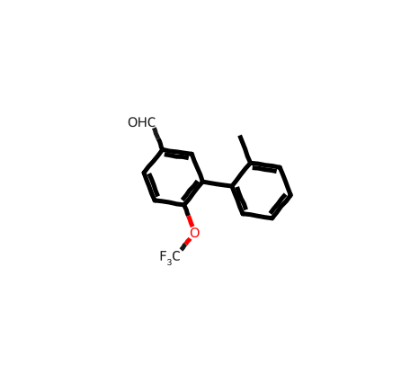 Cc1ccccc1-c1cc(C=O)ccc1OC(F)(F)F